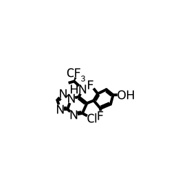 C[C@H](Nc1c(-c2c(F)cc(O)cc2F)c(Cl)nc2ncnn12)C(F)(F)F